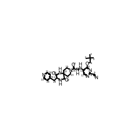 CC(C)(C)COc1nc(C#N)ncc1NNC(=O)N1CCC2(CC1)NC(=O)C(Cc1ccncc1)NC2=O